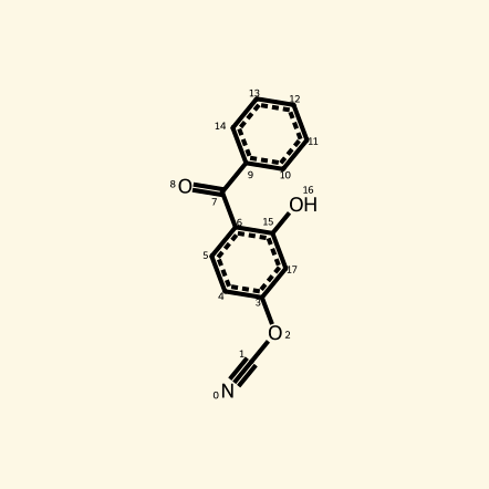 N#COc1ccc(C(=O)c2ccccc2)c(O)c1